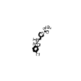 CC(C)(C)OC(=O)N1CCC(CNc2nc3ccc(Cl)cc3o2)C1